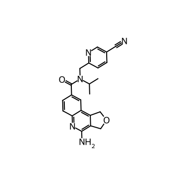 CC(C)N(Cc1ccc(C#N)cn1)C(=O)c1ccc2nc(N)c3c(c2c1)COC3